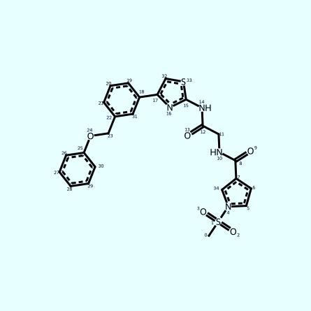 CS(=O)(=O)n1ccc(C(=O)NCC(=O)Nc2nc(-c3cccc(COc4ccccc4)c3)cs2)c1